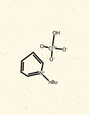 CCCC[n+]1ccccc1.[O-][Cl+3]([O-])([O-])O